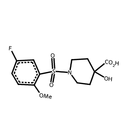 COc1ccc(F)cc1S(=O)(=O)N1CCC(O)(C(=O)O)CC1